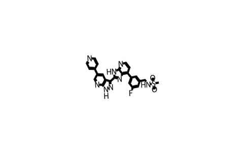 CS(=O)(=O)NCc1cc(F)cc(-c2ccnc3[nH]c(-c4n[nH]c5ncc(-c6ccncc6)cc45)nc23)c1